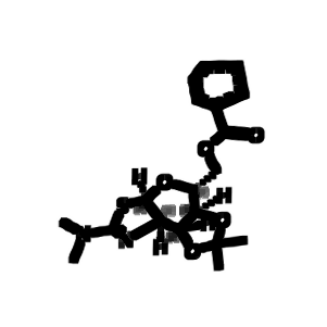 CN(C)C1=N[C@@H]2[C@H]3OC(C)(C)O[C@@H]3[C@@H](COC(=O)c3ccccc3)O[C@@H]2S1